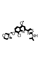 COc1cc(-c2csc(NC(C)C)n2)nc2c(Cl)c(OC[C@H]3COCCN3C)ccc12